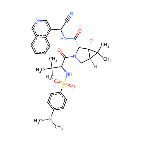 CN(C)c1ccc(S(=O)(=O)N[C@H](C(=O)N2C[C@H]3[C@@H]([C@H]2C(=O)NC(C#N)c2cncc4ccccc24)C3(C)C)C(C)(C)C)cc1